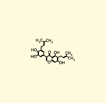 CC(C)=CCc1cc(-c2coc3cc(O)c(CC=C(C)C)c(O)c3c2=O)cc(O)c1O